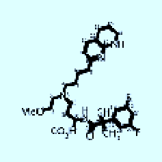 COCCN(CCCCc1ccc2c(n1)NCCC2)CCC(NC(=O)C(C)(C)c1cc(F)cc(F)c1)C(=O)O